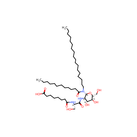 CCCCCCCCCCCCCCCCCCN(C(=O)CCCCCCCCCCC)[C@@H]1O[C@H](CO)[C@@H](O)[C@H](O)[C@H]1NC(=O)[C@H](CO)NC(=O)CCCCCCC(=O)O